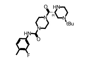 Cc1ccc(NC(=O)N2CCN(C(=O)[C@H]3CN(C(C)(C)C)CCN3)CC2)cc1F